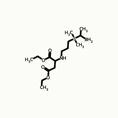 BC(C)S(C)(C)CCCNC(CC(=O)OCC)C(=O)OCC